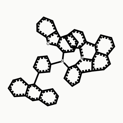 c1cc(-c2c3ccccc3cc3ccccc23)cc(N(c2cccc3c2oc2ccccc23)c2cccc3c4ccc5cccc6c7ccccc7n(c23)c4c56)c1